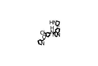 Clc1cc(Nc2ncnc3ccc([C@H]4CCCNC4)cc23)ccc1OCc1ccccn1